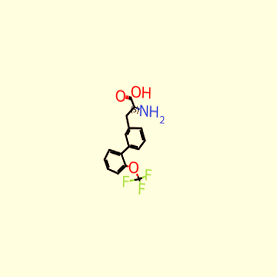 N[C@@H](Cc1cccc(-c2ccccc2OC(F)(F)F)c1)C(=O)O